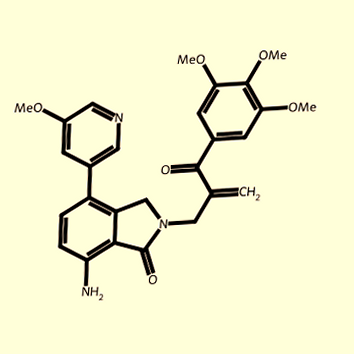 C=C(CN1Cc2c(-c3cncc(OC)c3)ccc(N)c2C1=O)C(=O)c1cc(OC)c(OC)c(OC)c1